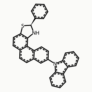 c1ccc([C@H]2Nc3c(ccc4ccc5cc(-n6c7ccccc7c7ccccc76)ccc5c34)S2)cc1